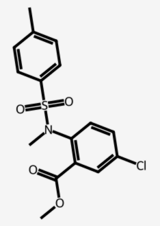 COC(=O)c1cc(Cl)ccc1N(C)S(=O)(=O)c1ccc(C)cc1